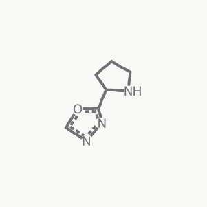 c1nnc(C2CCCN2)o1